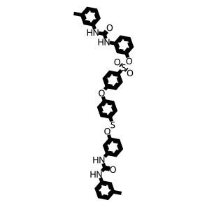 Cc1cccc(NC(=O)Nc2cccc(OSc3ccc(Oc4ccc(S(=O)(=O)Oc5cccc(NC(=O)Nc6cccc(C)c6)c5)cc4)cc3)c2)c1